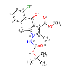 COC(=O)c1c(C(=O)c2ccccc2Cl)c(C)n(NC(=O)OC(C)(C)C)c1C